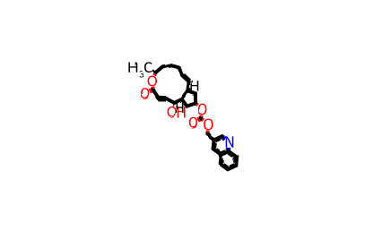 C[C@H]1CCC/C=C/[C@@H]2CC(OC(=O)OCc3cnc4ccccc4c3)C[C@H]2[C@H](O)/C=C/C(=O)O1